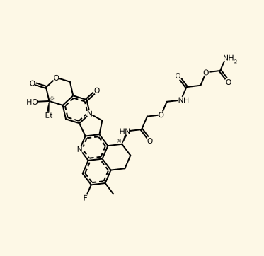 CC[C@@]1(O)C(=O)OCc2c1cc1n(c2=O)Cc2c-1nc1cc(F)c(C)c3c1c2[C@@H](NC(=O)COCNC(=O)COC(N)=O)CC3